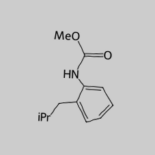 COC(=O)Nc1ccccc1CC(C)C